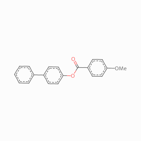 COc1ccc(C(=O)Oc2ccc(-c3ccccc3)cc2)cc1